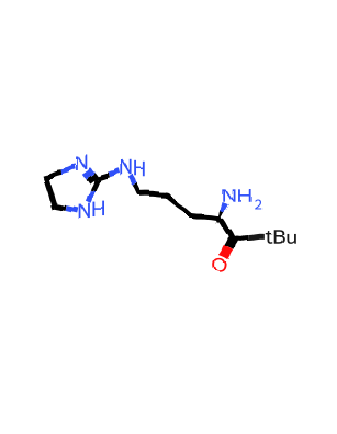 CC(C)(C)C(=O)[C@H](N)CCCNC1=NCCN1